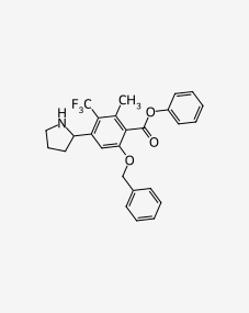 Cc1c(C(=O)Oc2ccccc2)c(OCc2ccccc2)cc(C2CCCN2)c1C(F)(F)F